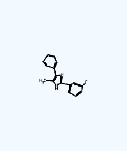 Cc1[nH]c(-c2cccc(F)c2)nc1-c1ccccc1